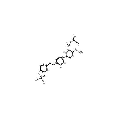 COc1ccc(-c2ccc(NCc3cccc(OC(F)(F)F)c3)nc2)nc1C1CC1C(=O)O